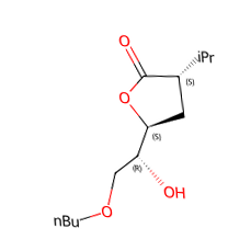 CCCCOC[C@@H](O)[C@@H]1C[C@@H](C(C)C)C(=O)O1